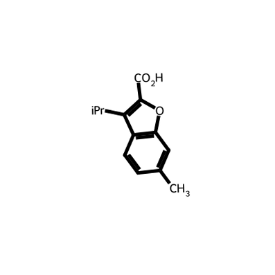 Cc1ccc2c(C(C)C)c(C(=O)O)oc2c1